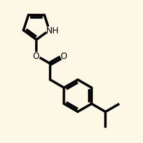 CC(C)c1ccc(CC(=O)Oc2ccc[nH]2)cc1